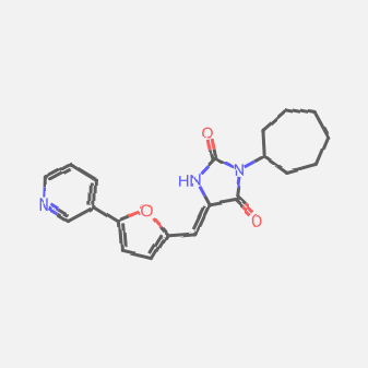 O=C1N/C(=C\c2ccc(-c3cccnc3)o2)C(=O)N1C1CCCCCC1